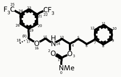 CNC(=O)OC(CCc1ccccc1)CNCO[C@H](C)c1cc(C(F)(F)F)cc(C(F)(F)F)c1